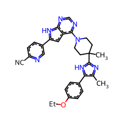 CCOc1ccc(-c2[nH]c(C3(C)CCN(c4ncnc5[nH]c(-c6ccc(C#N)nc6)cc45)CC3)nc2C)cc1